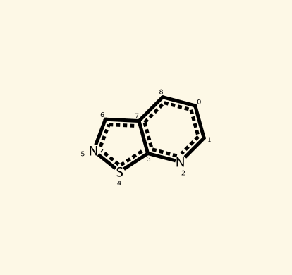 c1cnc2sncc2c1